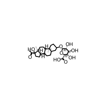 CC(=O)[C@@]1(O)CC[C@H]2[C@@H]3CCC4CC(OC5O[C@H](C(=O)O)[C@@H](O)[C@H](O)[C@H]5O)CC[C@]4(C)[C@H]3CC[C@@]21C